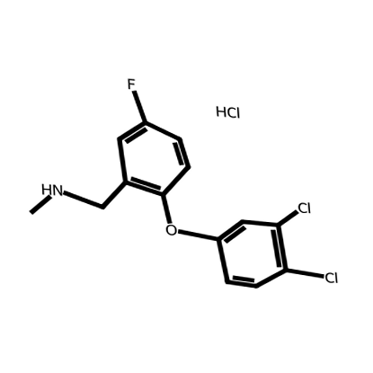 CNCc1cc(F)ccc1Oc1ccc(Cl)c(Cl)c1.Cl